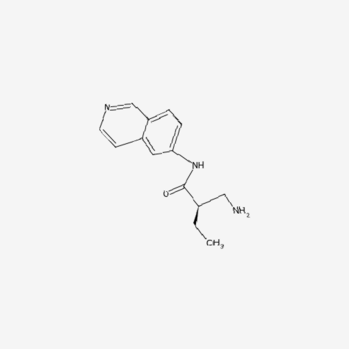 CC[C@H](CN)C(=O)Nc1ccc2cnccc2c1